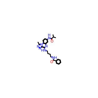 Cc1nnc2c(NCCCCNC(=O)c3ccccc3)nc3cc(NC(=O)C(C)C)ccc3n12